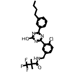 CCCCc1cccc(-c2nc(O)nc(-c3cc(CNC(=O)C(C)(C)C(F)(F)F)ccc3Cl)n2)c1